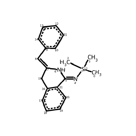 C[Si](C)(C)N=C1NC(=Cc2ccccc2)Cc2ccccc21